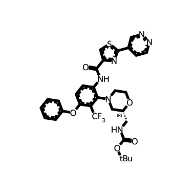 CC(C)(C)OC(=O)NC[C@@H]1CN(c2c(NC(=O)c3csc(-c4ccnnc4)n3)ccc(Oc3ccccc3)c2C(F)(F)F)CCO1